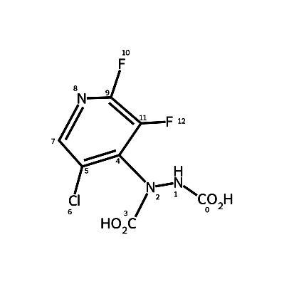 O=C(O)NN(C(=O)O)c1c(Cl)cnc(F)c1F